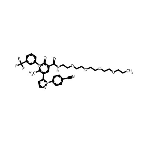 CCCOCCOCCOCCOCCNC(=O)c1cc(-c2ccnn2-c2ccc(C#N)cc2)c(C)n(-c2cccc(C(F)(F)F)c2)c1=O